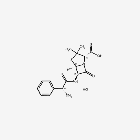 CC1(C)S[C@@H]2[C@H](NC(=O)[C@H](N)c3ccccc3)C(=O)N2[C@H]1C(=O)O.Cl